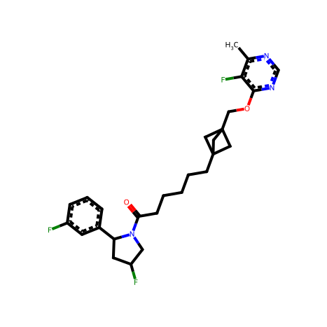 Cc1ncnc(OCC23CC(CCCCCC(=O)N4CC(F)CC4c4cccc(F)c4)(C2)C3)c1F